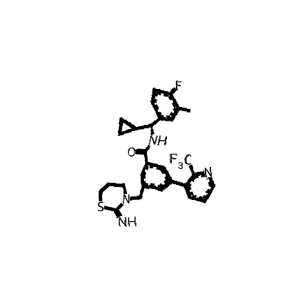 Cc1cc([C@@H](NC(=O)c2cc(CN3CCCSC3=N)cc(-c3cccnc3C(F)(F)F)c2)C2CC2)ccc1F